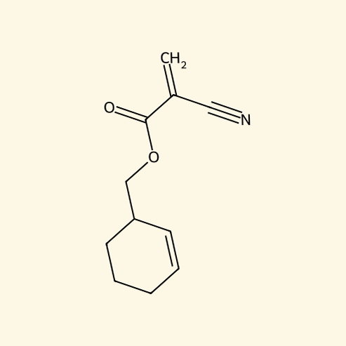 C=C(C#N)C(=O)OCC1C=CCCC1